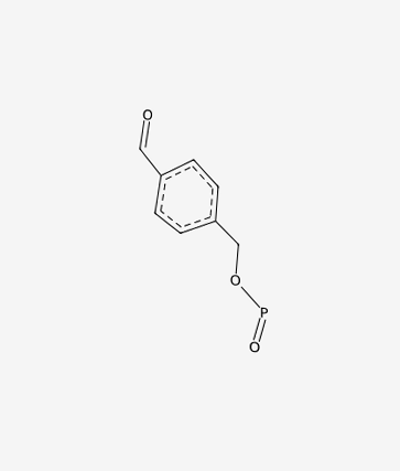 O=Cc1ccc(COP=O)cc1